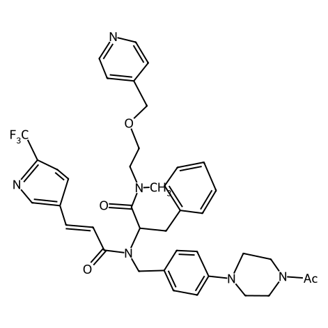 CC(=O)N1CCN(c2ccc(CN(C(=O)C=Cc3ccc(C(F)(F)F)nc3)C(Cc3ccccc3)C(=O)N(C)CCOCc3ccncc3)cc2)CC1